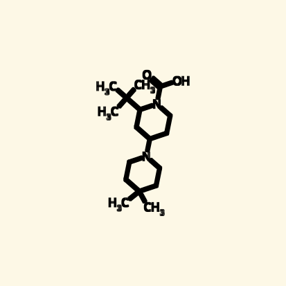 CC1(C)CCN(C2CCN(C(=O)O)C(C(C)(C)C)C2)CC1